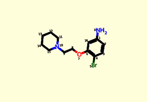 Nc1ccc(Br)c(OCCN2CCCCC2)c1